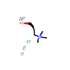 C[N+](C)(C)CCO.[Cd+2].[Cl-].[Cl-].[Cl-]